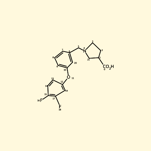 O=C(O)C1CCN(Cc2cccc(Oc3ccc(F)c(F)c3)c2)C1